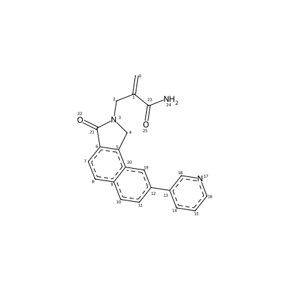 C=C(CN1Cc2c(ccc3ccc(-c4cccnc4)cc23)C1=O)C(N)=O